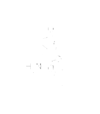 COc1ccc(C(CN)C(=O)OC2CCCCC2)cc1